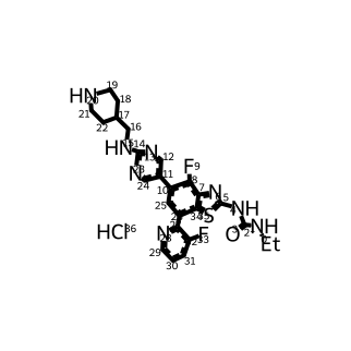 CCNC(=O)Nc1nc2c(F)c(-c3cnc(NCC4CCNCC4)nc3)cc(-c3ncccc3F)c2s1.Cl